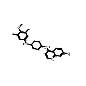 COc1c(C)cc(NC2CCC(Nc3ccnc4cc(Cl)ccc34)CC2)cc1C